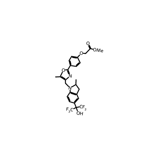 COC(=O)COc1ccc(-c2nc(CN3c4ccc(C(O)(C(F)(F)F)C(F)(F)F)cc4CC3C)c(C)o2)cc1